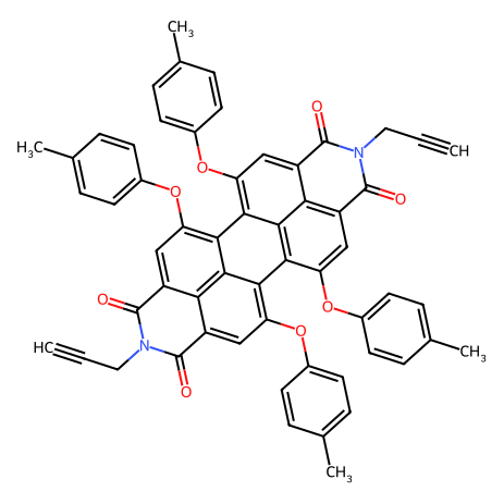 C#CCN1C(=O)c2cc(Oc3ccc(C)cc3)c3c4c(Oc5ccc(C)cc5)cc5c6c(cc(Oc7ccc(C)cc7)c(c7c(Oc8ccc(C)cc8)cc(c2c37)C1=O)c64)C(=O)N(CC#C)C5=O